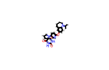 CC(C)N1CCCCc2cc(Oc3ccc(N4CCCC45C(=O)NC(=O)NC5=O)cn3)ccc21